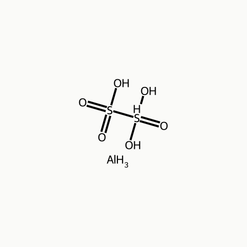 O=S(=O)(O)[SH](=O)(O)O.[AlH3]